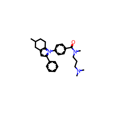 CC1CCc2c(cc(-c3ccccc3)n2-c2ccc(C(=O)N(C)CCCN(C)C)cc2)C1